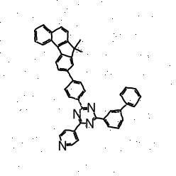 CC1(C)c2cc(-c3ccc(-c4nc(-c5ccncc5)nc(-c5cccc(-c6ccccc6)c5)n4)cc3)ccc2-c2c1ccc1ccccc21